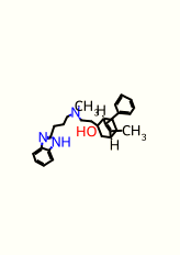 CC1=C(c2ccccc2)[C@@H]2CC[C@@H]1C[C@]2(O)CCN(C)CCCc1nc2ccccc2[nH]1